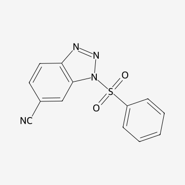 N#Cc1ccc2nnn(S(=O)(=O)c3ccccc3)c2c1